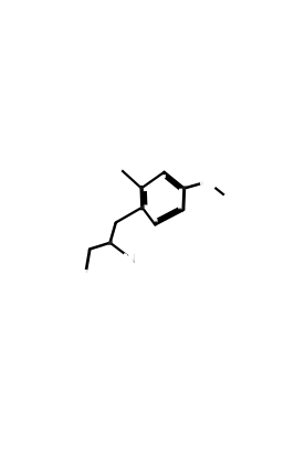 COc1ccc(CC(N)CO)c(C)c1